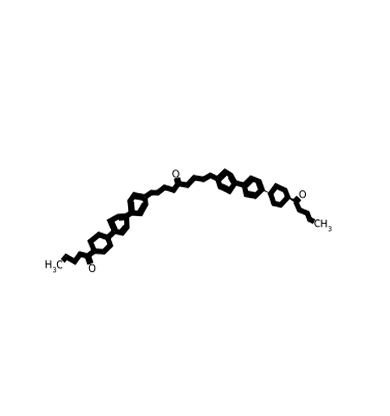 CCCCC(=O)C1CCC(c2ccc(-c3ccc(CCCCC(=O)CCCCc4ccc(-c5ccc([C@H]6CC[C@H](C(=O)CCCC)CC6)cc5)cc4)cc3)cc2)CC1